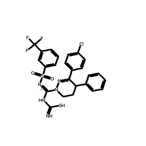 N=C(S)N/C(=N/S(=O)(=O)c1cccc(C(F)(F)F)c1)N1CCC(c2ccccc2)C(c2ccc(Cl)cc2)=N1